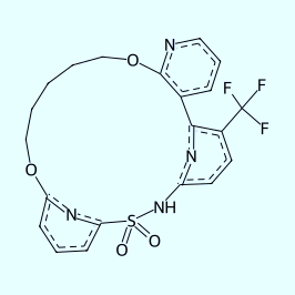 O=S1(=O)Nc2ccc(C(F)(F)F)c(n2)-c2cccnc2OCCCCCOc2cccc1n2